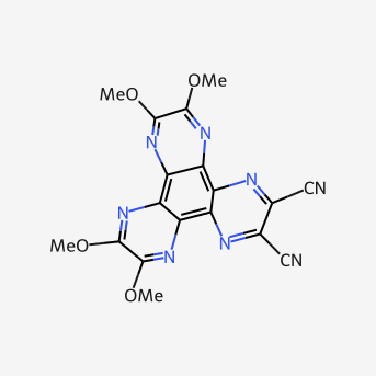 COc1nc2c3nc(C#N)c(C#N)nc3c3nc(OC)c(OC)nc3c2nc1OC